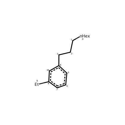 CCCCCCCCCc1cc[c]c(CC)c1